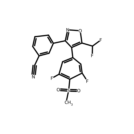 CS(=O)(=O)c1c(F)cc(-c2c(-c3cccc(C#N)c3)noc2C(F)F)cc1F